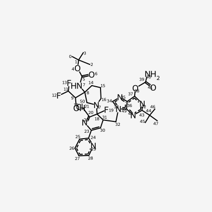 CC(C)(C)OC(=O)NC1(C(O)C(F)F)CCCN(C2(F)C(Cl)=NC(c3ccccn3)=CC2Cn2cnc3c(OC(N)=O)nc(C(C)(C)C)nc32)C1